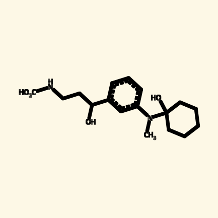 CN(c1cccc(C(O)CCNC(=O)O)c1)C1(O)CCCCC1